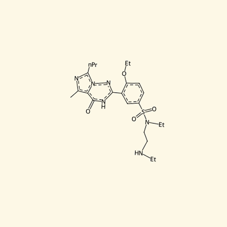 CCCc1nc(C)c2c(=O)[nH]c(-c3cc(S(=O)(=O)N(CC)CCNCC)ccc3OCC)nn12